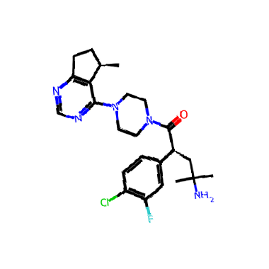 C[C@@H]1CCc2ncnc(N3CCN(C(=O)[C@@H](CC(C)(C)N)c4ccc(Cl)c(F)c4)CC3)c21